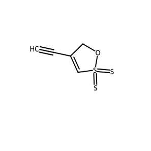 C#CC1=CS(=S)(=S)OC1